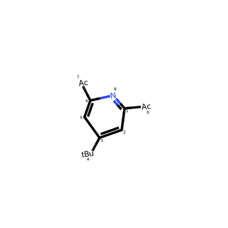 CC(=O)c1cc(C(C)(C)C)cc(C(C)=O)n1